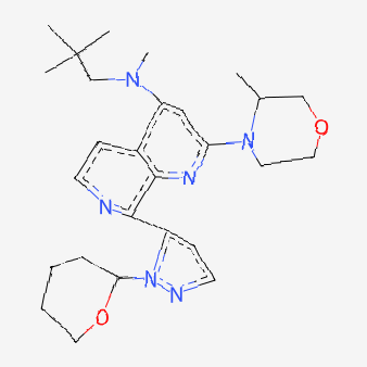 CC1COCCN1c1cc(N(C)CC(C)(C)C)c2ccnc(-c3ccnn3C3CCCCO3)c2n1